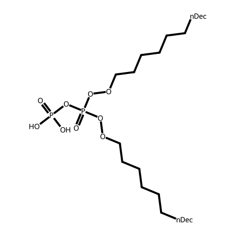 CCCCCCCCCCCCCCCCOOP(=O)(OOCCCCCCCCCCCCCCCC)OP(=O)(O)O